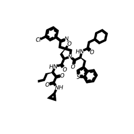 CCC[C@@H](NC(=O)C1C[C@]2(CC(c3cccc(Cl)c3)=NO2)CN1C(=O)[C@H](Cc1csc2ccccc12)NC(=O)CC1CCCCC1)C(=O)C(=O)NC1CC1